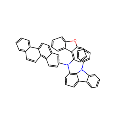 c1ccc(-n2c3ccccc3c3cccc(N(c4ccc5c(ccc6c7ccccc7ccc56)c4)c4cccc5oc6ccccc6c45)c32)cc1